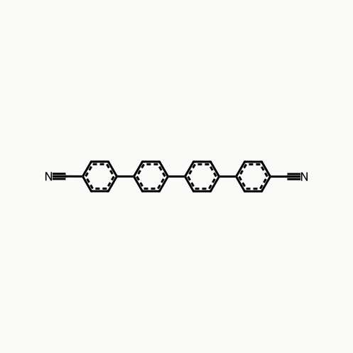 N#Cc1ccc(-c2ccc(-c3ccc(-c4ccc(C#N)cc4)cc3)cc2)cc1